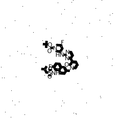 Cc1ccc2c(NS(=O)(=O)CC(C)C)c(F)ccc2c1Oc1ncccc1-c1ccnc(N[C@@H]2C[C@@H](F)CN(C(=O)OC(C)(C)C)C2)n1